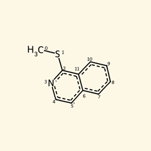 CSc1nc[c]c2ccccc12